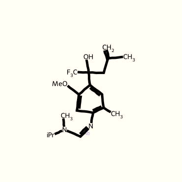 C=C(C)CC(O)(c1cc(C)c(/N=C\N(C)C(C)C)cc1OC)C(F)(F)F